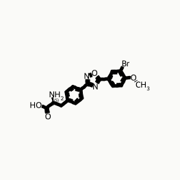 COc1ccc(-c2nc(-c3ccc(C[C@H](N)C(=O)O)cc3)no2)cc1Br